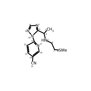 CSCCNC(C)c1ncnn1-c1ccc(C#N)cn1